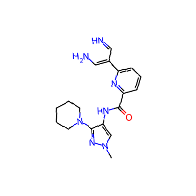 Cn1cc(NC(=O)c2cccc(/C(C=N)=C/N)n2)c(N2CCCCC2)n1